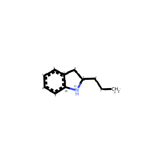 [CH2]CCC1Cc2ccccc2N1